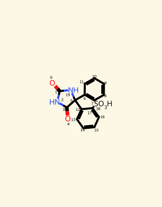 O=C1NC(=O)C(c2ccccc2)(c2ccccc2S(=O)(=O)O)N1